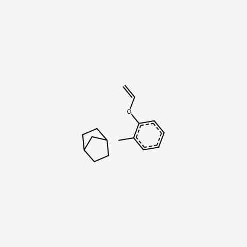 C1CC2CCC1C2.C=COc1ccccc1C